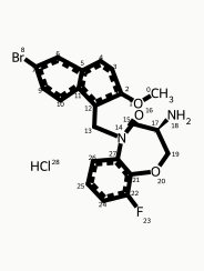 COc1ccc2cc(Br)ccc2c1CN1C(=O)[C@@H](N)COc2c(F)cccc21.Cl